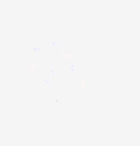 NC(=O)C(C(N)=O)n1nc(C(=O)O)c(Br)c1NC(=O)c1ccccc1Cl